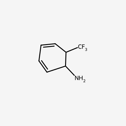 NC1C=CC=CC1C(F)(F)F